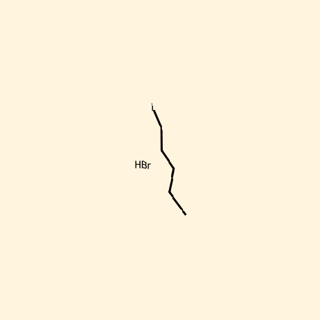 Br.CCCCCI